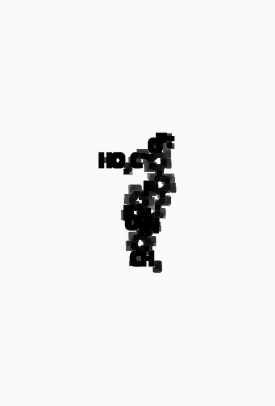 CCOc1ccc(-c2ccc(CCCc3nn(-c4ccc(C)cc4)c(=O)n3-c3cc(F)ccc3F)cc2)cc1CC(=O)O